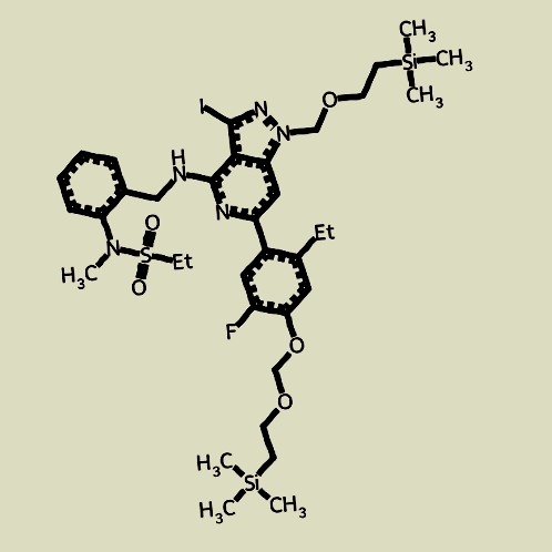 CCc1cc(OCOCC[Si](C)(C)C)c(F)cc1-c1cc2c(c(I)nn2COCC[Si](C)(C)C)c(NCc2ccccc2N(C)S(=O)(=O)CC)n1